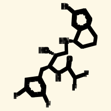 CCc1ccc2c(c1)[C@@H](NC[C@@H](O)[C@H](Cc1cc(F)cc(F)c1)NC(=O)C(F)F)CCC2